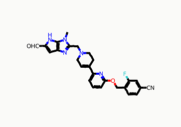 Cn1c(CN2CC=C(c3cccc(OCc4ccc(C#N)cc4F)n3)CC2)nc2cc(C=O)[nH]c21